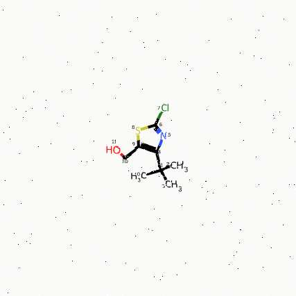 CC(C)(C)c1nc(Cl)sc1CO